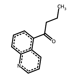 CCCC(=O)c1cccc2ncccc12